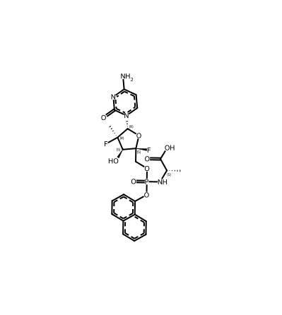 C[C@H](NP(=O)(OC[C@@]1(F)O[C@@H](n2ccc(N)nc2=O)[C@](C)(F)[C@@H]1O)Oc1cccc2ccccc12)C(=O)O